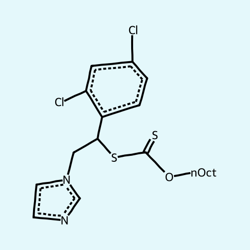 CCCCCCCCOC(=S)SC(Cn1ccnc1)c1ccc(Cl)cc1Cl